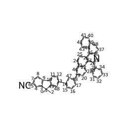 CC1(C)c2cc(C#N)ccc2-c2ccc(-c3cccc(-c4ccc5c(ccc6c5c(-c5ccccc5)nc5ccc7ccccc7c56)c4)c3)cc21